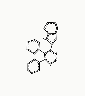 c1ccc(-c2nnnc(-c3cc4ccccc4[se]3)c2-c2ccccc2)cc1